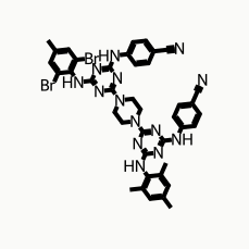 Cc1cc(C)c(Nc2nc(Nc3ccc(C#N)cc3)nc(N3CCN(c4nc(Nc5ccc(C#N)cc5)nc(Nc5c(Br)cc(C)cc5Br)n4)CC3)n2)c(C)c1